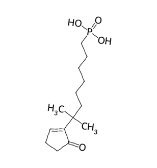 CC(C)(CCCCCCP(=O)(O)O)C1=CCCC1=O